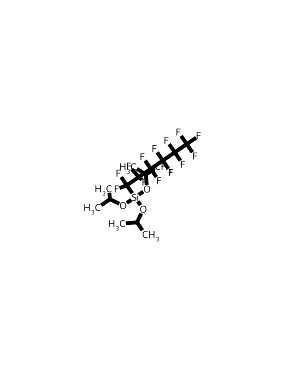 CC(C)O[Si](OC(C)C)(OC(C)C)C(F)(F)C(F)(F)C(F)(F)C(F)(F)C(F)(F)C(F)(F)F